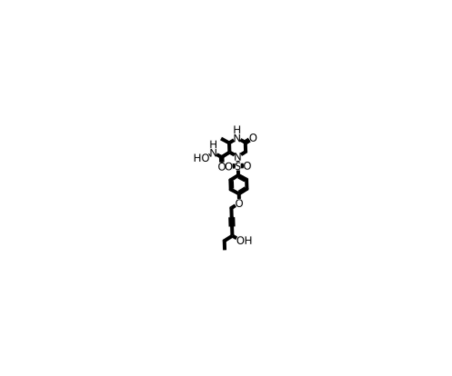 CCC(O)C#CCOc1ccc(S(=O)(=O)N2CC(=O)NC(C)C2C(=O)NO)cc1